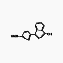 COc1ccc(-c2ccc(O)c3ccccc23)cc1